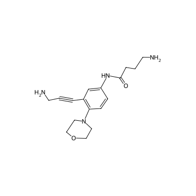 NCC#Cc1cc(NC(=O)CCCN)ccc1N1CCOCC1